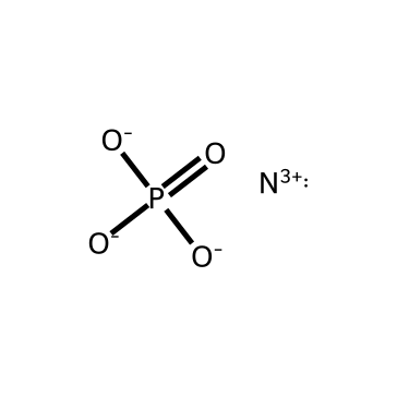 O=P([O-])([O-])[O-].[N+3]